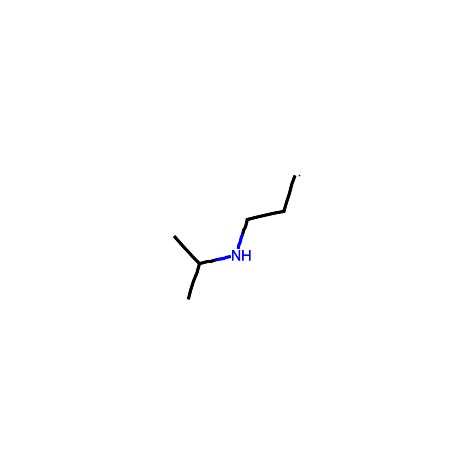 [CH2]CCNC(C)C